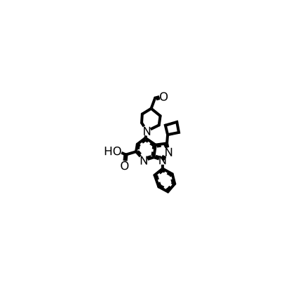 O=CC1CCN(c2cc(C(=O)O)nc3c2c(C2CCC2)nn3-c2ccccc2)CC1